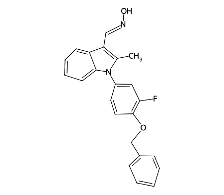 Cc1c(/C=N/O)c2ccccc2n1-c1ccc(OCc2ccccc2)c(F)c1